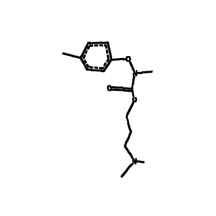 Cc1ccc(ON(C)C(=O)OCCCN(C)C)cc1